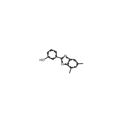 Cc1cc(C)c2oc(-c3cccc(O)c3)nc2c1